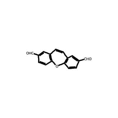 O=Cc1ccc2c(c1)C=Cc1cc(C=O)ccc1O2